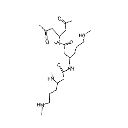 CNCCCC(CC(=O)NC(CCCNC)CC(=O)NC(CC(C)=O)CC(C)=O)NC